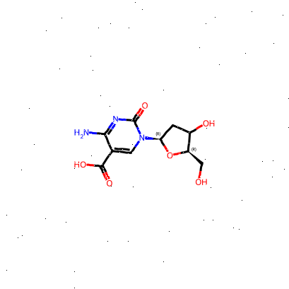 Nc1nc(=O)n([C@H]2CC(O)[C@@H](CO)O2)cc1C(=O)O